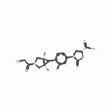 NC(=O)[C@H]1CN(c2ccc(C3[C@H]4CN(C(=O)CO)C[C@@H]34)c(F)c2)C(=O)O1